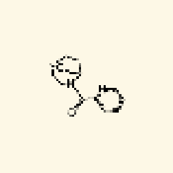 O=C(c1ccccn1)N1CCN2CCC1CC2